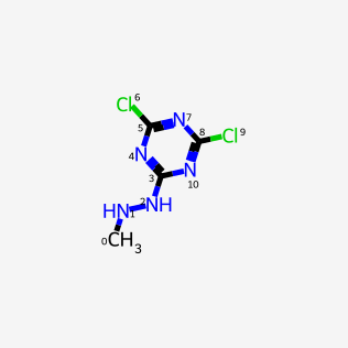 CNNc1nc(Cl)nc(Cl)n1